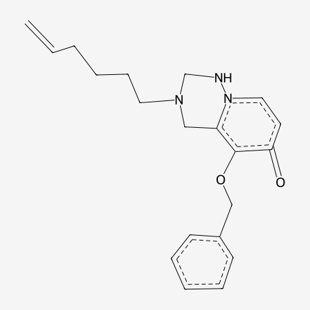 C=CCCCCN1CNn2ccc(=O)c(OCc3ccccc3)c2C1